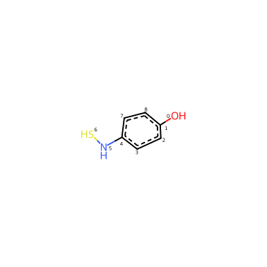 Oc1ccc(NS)cc1